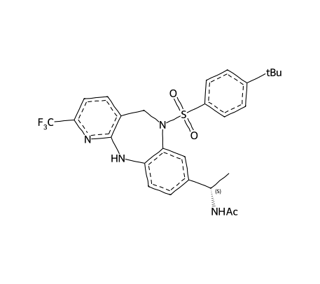 CC(=O)N[C@@H](C)c1ccc2c(c1)N(S(=O)(=O)c1ccc(C(C)(C)C)cc1)Cc1ccc(C(F)(F)F)nc1N2